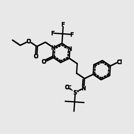 CCOC(=O)Cn1c(C(F)(F)F)nc(CC/C(=N\[S@@+]([O-])C(C)(C)C)c2ccc(Cl)cc2)cc1=O